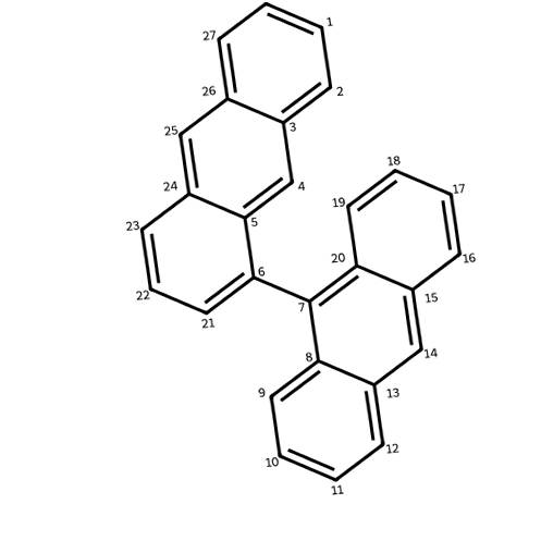 c1ccc2cc3c(-c4c5ccccc5cc5ccccc45)cccc3cc2c1